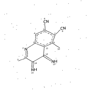 CC1=Nc2cc(C#N)c(C#N)c(C)c2C(=N)C1=N